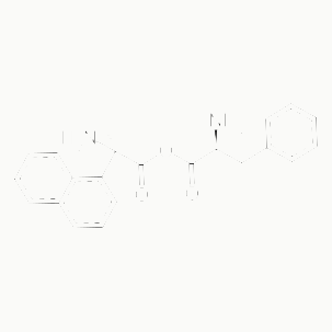 C[C@](N)(C(=O)OC(=O)[C@@H](N)Cc1ccccc1)c1cccc2ccccc12